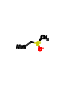 CSC[S@@+](C)[O-]